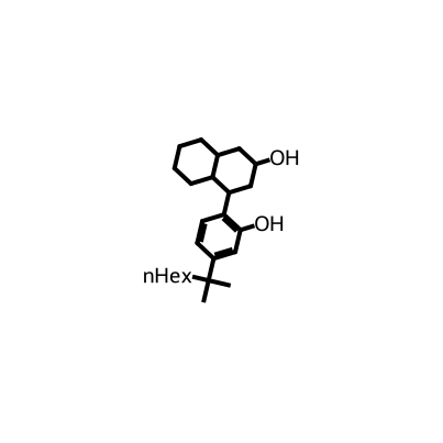 CCCCCCC(C)(C)c1ccc(C2CC(O)CC3CCCCC32)c(O)c1